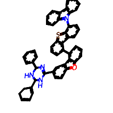 C1=CCCC(C2NC(c3ccc4oc5cccc(-c6cccc7sc8c(-n9c%10ccccc%10c%10ccccc%109)cccc8c67)c5c4c3)=NC(c3ccccc3)N2)=C1